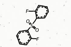 O=S(=O)(c1ccccc1F)c1ccccc1F